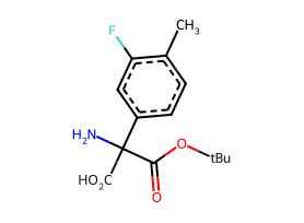 Cc1ccc(C(N)(C(=O)O)C(=O)OC(C)(C)C)cc1F